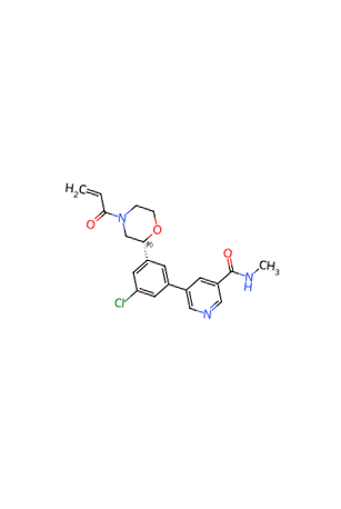 C=CC(=O)N1CCO[C@H](c2cc(Cl)cc(-c3cncc(C(=O)NC)c3)c2)C1